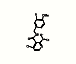 CC[S+]([O-])c1nccc(Cl)c1C(=O)NCc1ccc(OC)c(F)c1